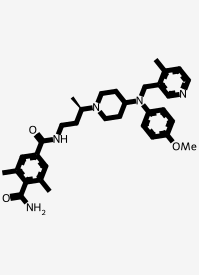 COc1ccc(N(Cc2cnccc2C)C2CCN([C@H](C)CCNC(=O)c3cc(C)c(C(N)=O)c(C)c3)CC2)cc1